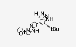 CC(C)(C)C#Cc1cc(-c2ccnc(Nc3ccn(C4CCCCO4)n3)c2)cc2c(N)n[nH]c12